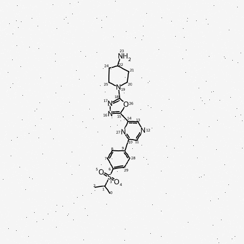 CC(C)S(=O)(=O)c1ccc(-c2cncc(-c3nnc(N4CCC(N)CC4)o3)n2)cc1